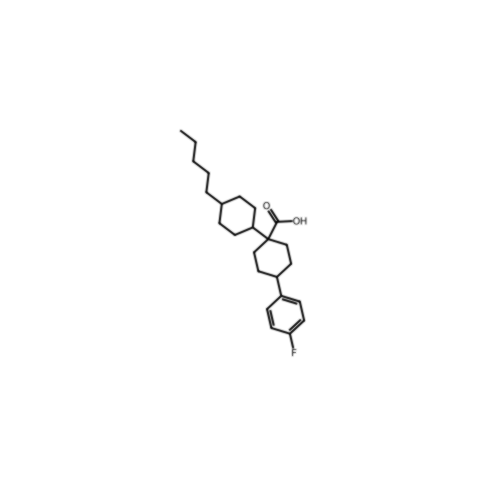 CCCCCC1CCC(C2(C(=O)O)CCC(c3ccc(F)cc3)CC2)CC1